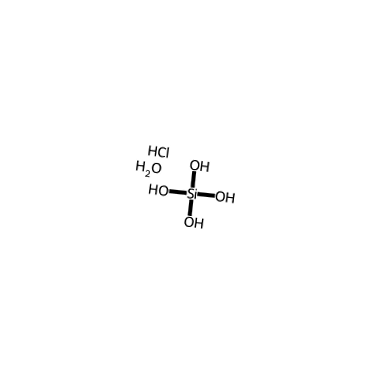 Cl.O.O[Si](O)(O)O